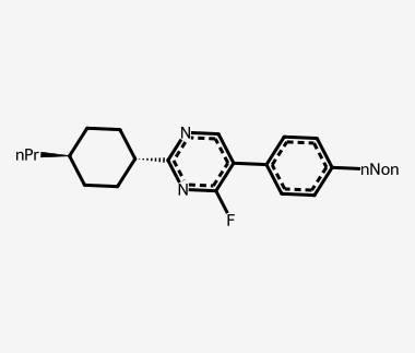 CCCCCCCCCc1ccc(-c2cnc([C@H]3CC[C@H](CCC)CC3)nc2F)cc1